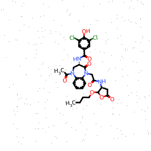 CCCCOC1OC(=O)CC1NC(=O)CN1C(=O)[C@@H](NC(=O)c2cc(Cl)c(O)c(Cl)c2)CN(C(C)=O)c2ccccc21